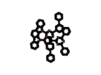 c1ccc(-c2ccc(-c3nc(-c4cccc(-c5ccccc5)c4)nc(-n4c5ccccc5c5ccc6c7ccccc7n(-c7ccc(-c8nc(-c9ccccc9)nc(-c9ccccc9)n8)cc7)c6c54)n3)cc2)cc1